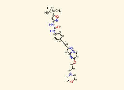 CC(C)(C)c1cc(NC(=O)Nc2ccc(C#Cc3cc4nc(OCCCN5CCOCC5)ccn4n3)cc2)no1